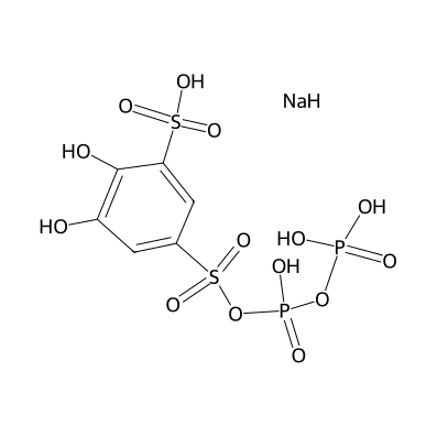 O=P(O)(O)OP(=O)(O)OS(=O)(=O)c1cc(O)c(O)c(S(=O)(=O)O)c1.[NaH]